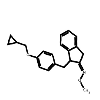 CO/N=C1/Cc2ccccc2C1Cc1ccc(OCC2CC2)cc1